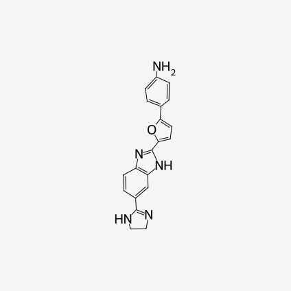 Nc1ccc(-c2ccc(-c3nc4ccc(C5=NCCN5)cc4[nH]3)o2)cc1